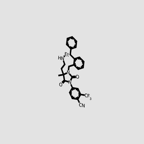 CCNCCC1(C)C(=O)N(c2ccc(C#N)c(C(F)(F)F)c2)C(=O)N1Cc1ccccc1Cc1ccccc1